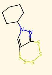 c1c2c(nn1C1CCCCC1)SSSSS2